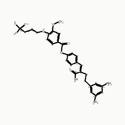 COc1cc(C(=O)Oc2ccc(C=C(CCc3cc(N)cc(N)c3)C(=O)O)cc2)ccc1OCCCC(F)(F)F